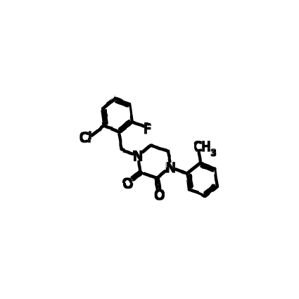 Cc1ccccc1N1CCN(Cc2c(F)cccc2Cl)C(=O)C1=O